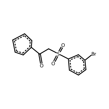 O=C(CS(=O)(=O)c1cccc(Br)c1)c1ccccc1